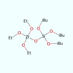 CC[O][Zr]([O]CC)([O]CC)[O][Si](OC(C)CC)(OC(C)CC)OC(C)CC